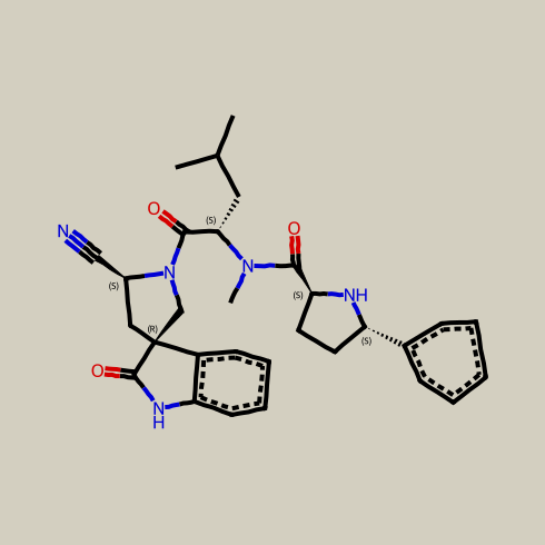 CC(C)C[C@@H](C(=O)N1C[C@]2(C[C@H]1C#N)C(=O)Nc1ccccc12)N(C)C(=O)[C@@H]1CC[C@@H](c2ccccc2)N1